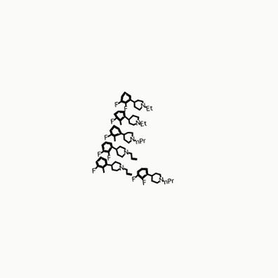 C=CCN1CCC(c2cccc(F)c2C)CC1.C=CCN1CCC(c2cccc(F)c2F)CC1.CCCN1CCC(c2cccc(F)c2C)CC1.CCCN1CCC(c2cccc(F)c2F)CC1.CCN1CCC(c2cccc(F)c2C)CC1.CCN1CCC(c2cccc(F)c2F)CC1